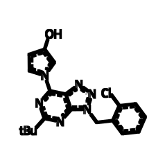 CC(C)(C)c1nc(-n2ccc(O)c2)c2nnn(Cc3ccccc3Cl)c2n1